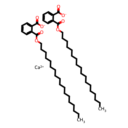 CCCCCCCCCCCCCCCCCCOC(=O)c1ccccc1C(=O)[O-].CCCCCCCCCCCCCCCCCCOC(=O)c1ccccc1C(=O)[O-].[Ca+2]